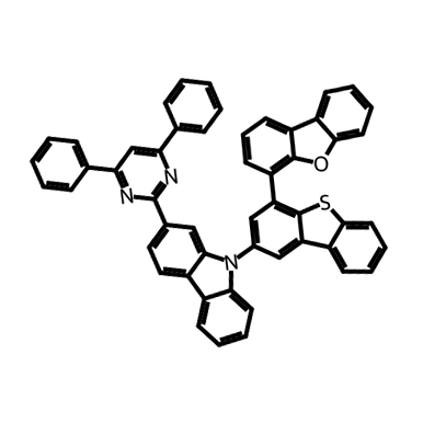 c1ccc(-c2cc(-c3ccccc3)nc(-c3ccc4c5ccccc5n(-c5cc(-c6cccc7c6oc6ccccc67)c6sc7ccccc7c6c5)c4c3)n2)cc1